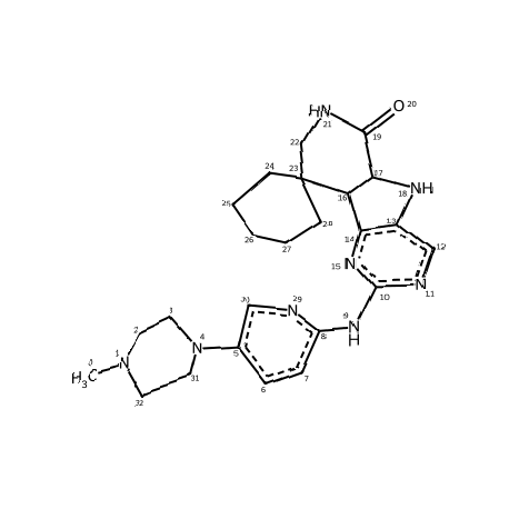 CN1CCN(c2ccc(Nc3ncc4c(n3)C3C(N4)C(=O)NCC34CCCCC4)nc2)CC1